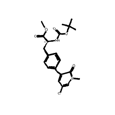 COC(=O)[C@H](Cc1ccc(-c2cc(Cl)cn(C)c2=O)cc1)NC(=O)OC(C)(C)C